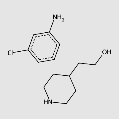 Nc1cccc(Cl)c1.OCCC1CCNCC1